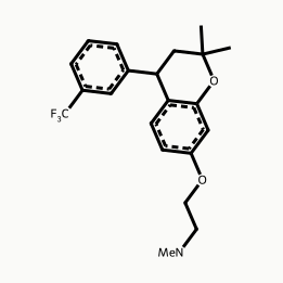 CNCCOc1ccc2c(c1)OC(C)(C)CC2c1cccc(C(F)(F)F)c1